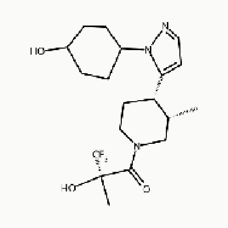 C[C@@H]1CN(C(=O)[C@@](C)(O)C(F)(F)F)CC[C@@H]1c1ccnn1C1CCC(O)CC1